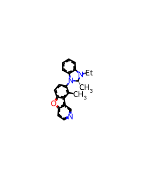 CCN1c2ccccc2N(c2ccc3oc4ccncc4c3c2C)[C@H]1C